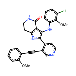 COc1ccccc1C#Cc1cnccc1-c1[nH]c2c(c1Nc1cccc(Cl)c1OC)C(=O)NCC2